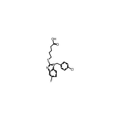 O=C(O)CCCCSc1nc2cc(F)ccc2n1Cc1ccc(Cl)cc1